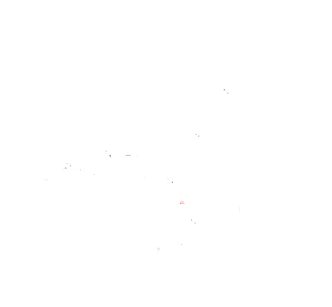 CC(C)n1c(=O)n(OC(=O)N[C@@H]2C[C@H]3CC[C@@H](C2)N3CC(O)CN2CCN(C(=O)C3CCCO3)CC2)c2ccccc21